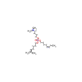 CC/C=C\CCCCOP(=O)(OCCCCC=C(C)C)OCCCCN(C)C